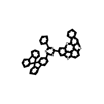 c1ccc(-c2nc(-c3ccc4c(c3)C3(c5ccccc5-c5ccccc53)c3ccccc3-4)nc(-c3cc4oc5c6ccccc6cc6sc7ccc8sc(c3)c4c8c7c65)n2)cc1